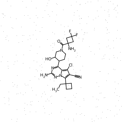 CCC1(c2c(C#N)c(Cl)c3c(C4CCN(C(=O)C5(N)CC(F)(F)C5)CC4O)nc(N)nn23)CCC1